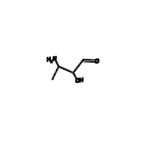 CC(N)C(O)C=O